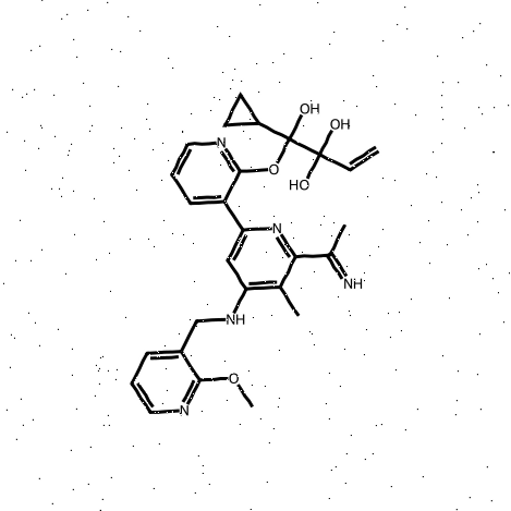 C=CC(O)(O)C(O)(Oc1ncccc1-c1cc(NCc2cccnc2OC)c(C)c(C(C)=N)n1)C1CC1